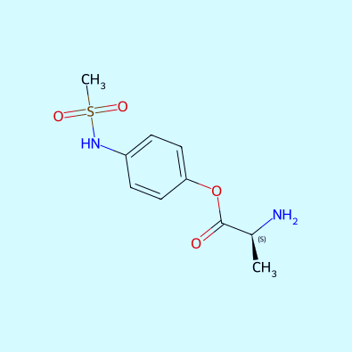 C[C@H](N)C(=O)Oc1ccc(NS(C)(=O)=O)cc1